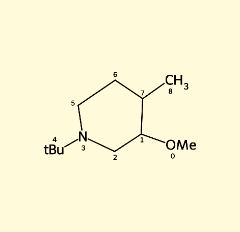 COC1CN(C(C)(C)C)CCC1C